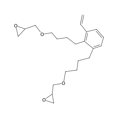 C=Cc1cccc(CCCCOCC2CO2)c1CCCCOCC1CO1